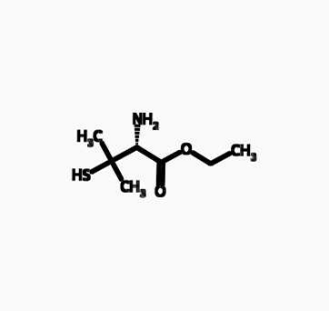 CCOC(=O)[C@@H](N)C(C)(C)S